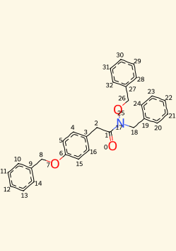 O=C(Cc1ccc(OCc2ccccc2)cc1)N(Cc1ccccc1)OCc1ccccc1